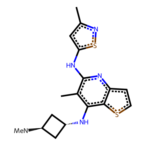 CN[C@H]1C[C@H](Nc2c(C)c(Nc3cc(C)ns3)nc3ccsc23)C1